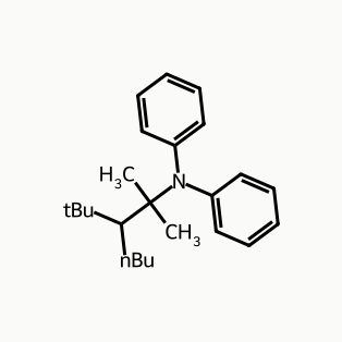 CCCCC(C(C)(C)C)C(C)(C)N(c1ccccc1)c1ccccc1